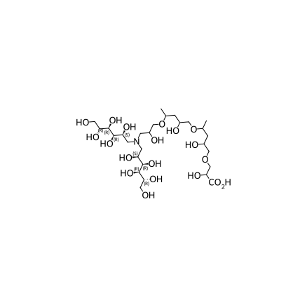 CC(CC(O)COCC(O)C(=O)O)OCC(O)CC(C)OCC(O)CN(C[C@H](O)[C@@H](O)[C@H](O)[C@H](O)CO)C[C@H](O)[C@@H](O)[C@H](O)[C@H](O)CO